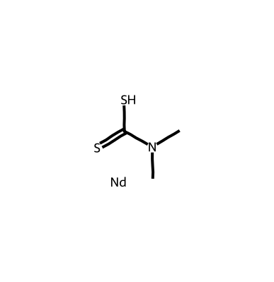 CN(C)C(=S)S.[Nd]